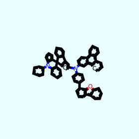 c1ccc(N2c3ccccc3C3(c4ccccc4-c4cc(N(c5ccc(-c6cccc7c6oc6ccccc67)cc5)c5ccc6c7ccccc7c7ccccc7c6c5)ccc43)c3ccccc32)cc1